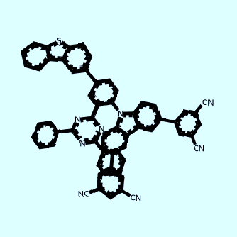 N#Cc1cc(C#N)cc(-c2ccc3c(c2)c2cc(-c4cc(C#N)cc(C#N)c4)ccc2n3-c2ccc(-c3ccc4sc5ccccc5c4c3)cc2-c2nc(-c3ccccc3)nc(-c3ccccc3)n2)c1